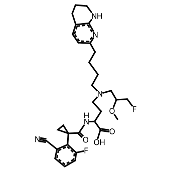 COC(CF)CN(CCCCc1ccc2c(n1)NCCC2)CCC(NC(=O)C1(c2c(F)cccc2C#N)CC1)C(=O)O